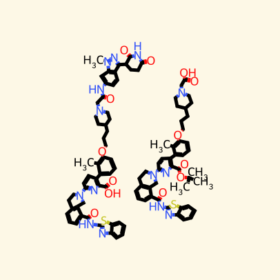 Cc1c(OCCCC2CCN(CC(=O)Nc3ccc4c(C5CCC(=O)NC5=O)nn(C)c4c3)CC2)cccc1-c1ccc(N2CCc3cccc(C(=O)Nc4nc5ccccc5s4)c3C2)nc1C(=O)O.Cc1c(OCCCC2CCN(CC(=O)O)CC2)cccc1-c1ccc(N2CCc3cccc(C(=O)Nc4nc5ccccc5s4)c3C2)nc1C(=O)OC(C)(C)C